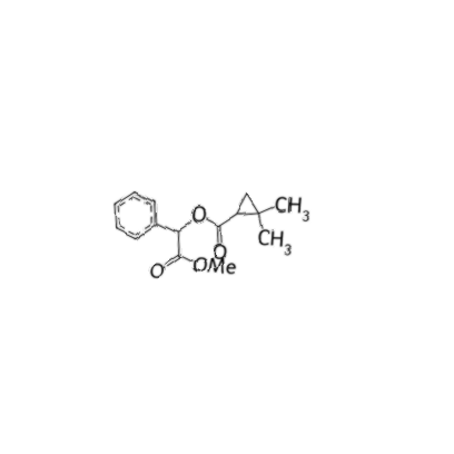 COC(=O)C(OC(=O)C1CC1(C)C)c1ccccc1